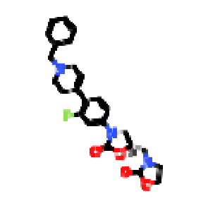 O=C1O[C@@H](Cn2ccoc2=O)CN1c1ccc(C2=CCN(Cc3ccccc3)CC2)c(F)c1